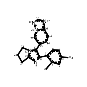 Cc1cc(F)ccc1-c1nc2n(c1-c1ccc3ncnn3c1)CCC2